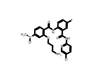 C[S@+]([O-])c1ccc(C(=O)Nc2ccc(F)cc2C(=O)Nc2ccc(Cl)cn2)c(OCCCN)c1